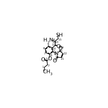 CCCC(=O)Oc1cccc(C(=O)[C@@H](N)CS)c1N1C(=O)C=CC1=O